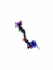 CC(C)n1nc(-c2noc(C3CC3)c2-c2ccc(C3CCN(C(=O)CCCCCCCN4CCC(c5ccc(NC6CCC(=O)NC6=O)cc5Cl)CC4)CC3)cn2)c2c(N)ncnc21